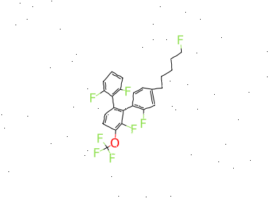 FCCCCCc1ccc(-c2c(-c3c(F)cccc3F)ccc(OC(F)(F)F)c2F)c(F)c1